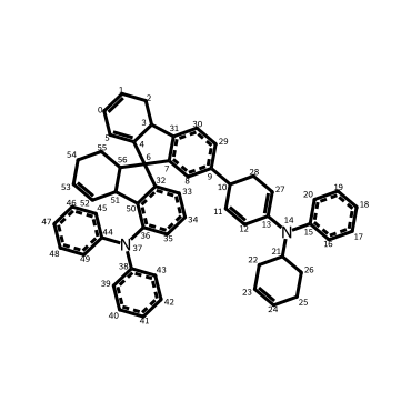 C1=CCC2C(=C1)C1(c3cc(C4C=CC(N(c5ccccc5)C5CC=CCC5)=CC4)ccc32)c2cccc(N(c3ccccc3)c3ccccc3)c2C2C=CCCC21